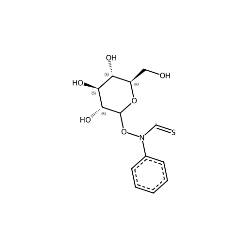 OC[C@H]1OC(ON([C]=S)c2ccccc2)[C@H](O)[C@@H](O)[C@@H]1O